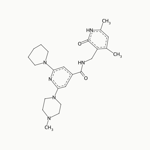 Cc1cc(C)c(CNC(=O)c2cc(N3CCCCC3)nc(N3CCN(C)CC3)c2)c(=O)[nH]1